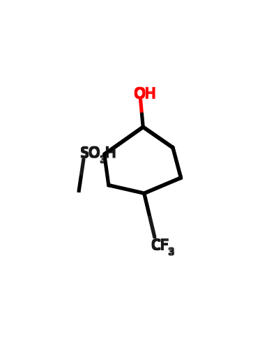 CS(=O)(=O)O.OC1CCC(C(F)(F)F)CC1